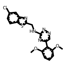 COc1cccc(OC)c1-c1cnnc(NCc2nc3cc(Cl)ccc3s2)n1